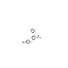 COc1ccccc1Cc1ccc(Cc2ccc(C#N)cc2)cc1-c1csc(N)n1